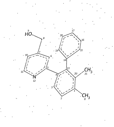 Cc1ccc(-c2cc(CO)ccn2)c(-c2ccccc2)c1C